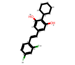 Oc1cc(/C=C/c2ccc(F)cc2F)cc(O)c1C1CCCCC1